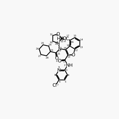 O=C(Nc1ccc(Cl)cn1)c1oc2cccc(C(=O)O)c2c1N(C(=O)C1CCCCC1)N1CCOC1=O